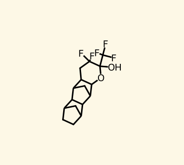 OC1(C(F)(F)F)OC2C(CC1(F)F)C1CC2C2C3CCC(C3)C12